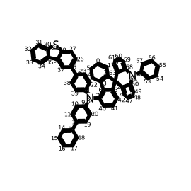 C1=CC2=C(CC1)c1c(N(c3ccc(-c4ccccc4)cc3)c3ccc(-c4ccc5sc6ccccc6c5c4)cc3)cccc1C21c2ccccc2N(c2ccccc2)c2ccccc21